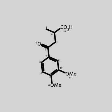 COc1ccc(C(=O)CC(C)C(=O)O)cc1OC